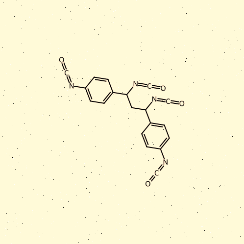 O=C=Nc1ccc(C(CC(N=C=O)c2ccc(N=C=O)cc2)N=C=O)cc1